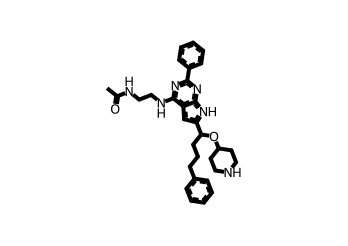 CC(=O)NCCNc1nc(-c2ccccc2)nc2[nH]c(C(CCCc3ccccc3)OC3CCNCC3)cc12